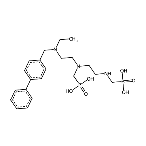 CCN(CCN(CCNCP(=O)(O)O)CP(=O)(O)O)Cc1ccc(-c2ccccc2)cc1